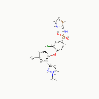 Cc1ccc(Oc2ccc(S(=O)(=O)Nc3nccs3)cc2F)c(-c2ccn(C)n2)c1